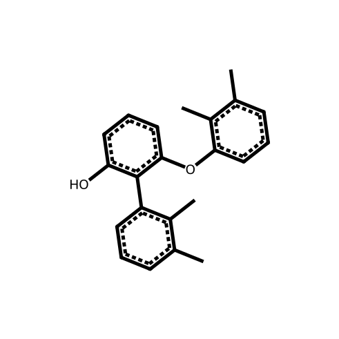 Cc1cccc(Oc2cccc(O)c2-c2cccc(C)c2C)c1C